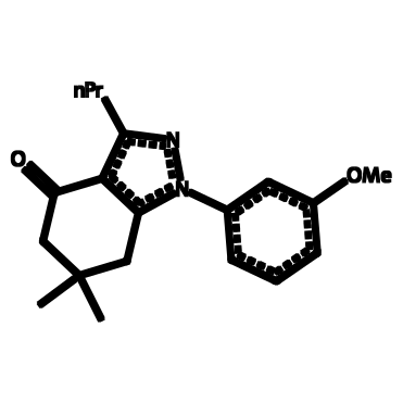 CCCc1nn(-c2cccc(OC)c2)c2c1C(=O)CC(C)(C)C2